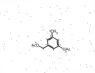 CC(=O)OCc1cc(C)cc(OC(C)=O)c1